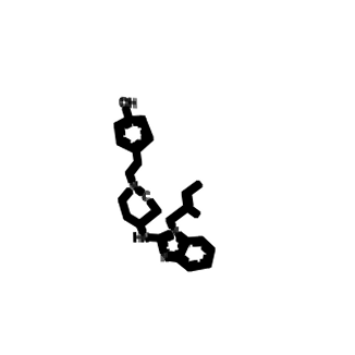 C/C=C(\C)Cn1c(NC2CCN(CCc3ccc(O)cc3)CC2)nc2ccccc21